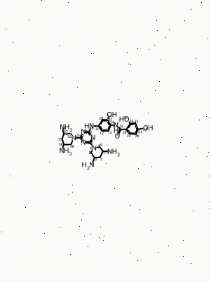 NC1CC(N)CN(c2nc(Nc3ccc(NC(=O)c4ccc(O)cc4O)c(O)c3)nc(N3CC(N)CC(N)C3)n2)C1